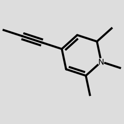 CC#CC1=CC(C)N(C)C(C)=C1